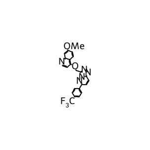 COc1ccc2c(OCc3nnc4ccc(-c5ccc(C(F)(F)F)cc5)nn34)ccnc2c1